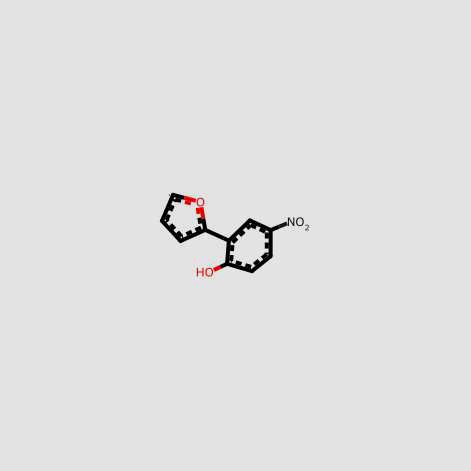 O=[N+]([O-])c1ccc(O)c(-c2cc[c]o2)c1